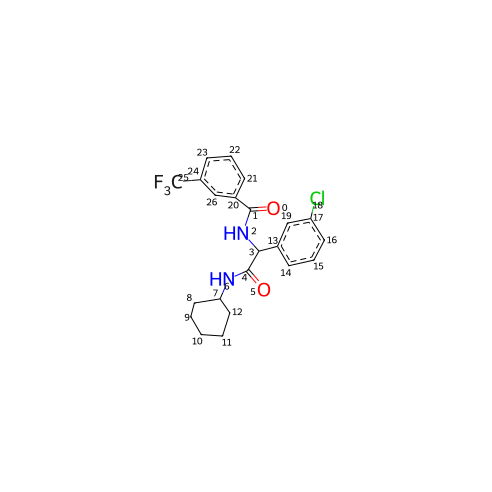 O=C(NC(C(=O)NC1CCCCC1)c1cccc(Cl)c1)c1cccc(C(F)(F)F)c1